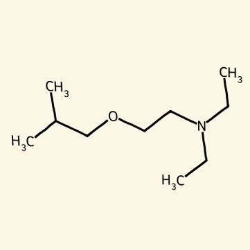 CCN(CC)CCOCC(C)C